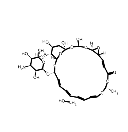 CO.C[C@@H]1C/C=C/C=C/C=C/C=C/[C@H](O[C@@H]2O[C@H](C)[C@@H](O)[C@H](N)[C@@H]2O)C[C@@H]2O[C@](O)(C[C@@H](O)C[C@H]3O[C@@H]3/C=C/C(=O)O1)C[C@H](O)[C@H]2C(=O)O